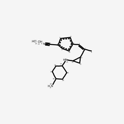 CC(=Cc1ccc(C#N)cc1)C1CC1NC1CCC(N)CC1.Cl.Cl